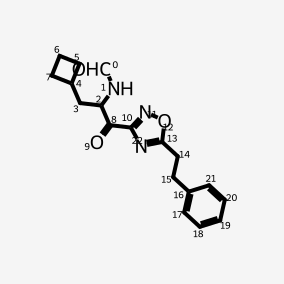 O=CNC(CC1CCC1)C(=O)c1noc(CCc2ccccc2)n1